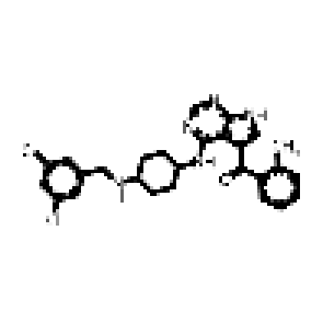 Cc1ccccc1C(=O)c1c[nH]c2ncnc(NC3CCC(NCc4cc(Cl)cc(Cl)c4)CC3)c12